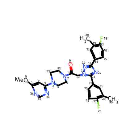 COc1cc(N2CCN(C(=O)Cn3nc(-c4ccc(F)c(C)c4)nc3-c3ccc(F)c(C)c3)CC2)ncn1